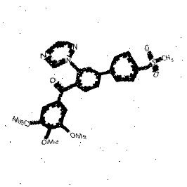 COc1cc(C(=O)c2ccc(-c3ccc(S(C)(=O)=O)cc3)cc2-n2cncn2)cc(OC)c1OC